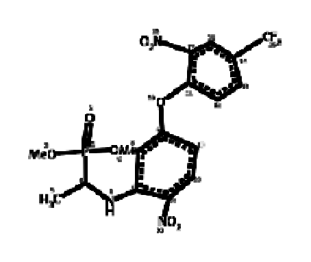 COP(=O)(OC)C(C)Nc1cc(Oc2ccc(C(F)(F)F)cc2[N+](=O)[O-])ccc1[N+](=O)[O-]